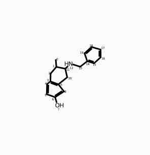 CC1Cc2ccc(O)cc2CC1NCc1ccccc1